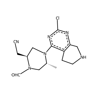 C[C@@H]1CN([C]=O)[C@@H](CC#N)CN1c1nc(Cl)nc2c1CCNC2